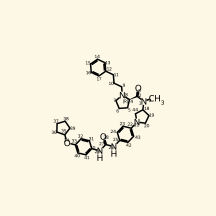 CN(C(=O)[C@H]1CCCN1CCCc1ccccc1)C1CCN(c2ccc(NC(=O)Nc3ccc(OC4CCCC4)cc3)cc2)C1